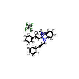 COC(=Cc1n(CC#Cc2ccccc2)c2ccccc2[n+]1C)c1ccccc1.F[B-](F)(F)F